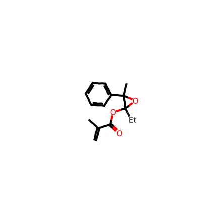 C=C(C)C(=O)OC1(CC)OC1(C)c1ccccc1